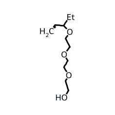 C=CC(CC)OCCOCCOCCO